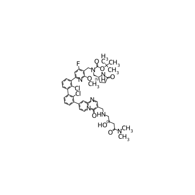 COc1nc(-c2cccc(-c3cccc(-c4ccn5c(=O)c(CNC[C@@H](O)CC(=O)N(C)C)cnc5c4)c3Cl)c2Cl)cc(F)c1CN(C[C@@H]1CCC(=O)N1)C(=O)OC(C)(C)C